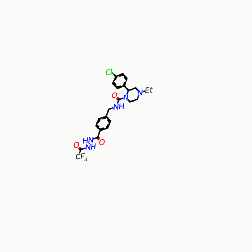 CCN1CCN(C(=O)NCc2ccc(C(=O)NNC(=O)C(F)(F)F)cc2)C(c2ccc(Cl)cc2)C1